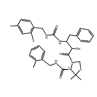 Cc1ccccc1CNC(=O)[C@H]1N(C(=O)C(O)C(Cc2ccccc2)NC(=O)NCc2ccc(F)cc2F)CSC1(C)C